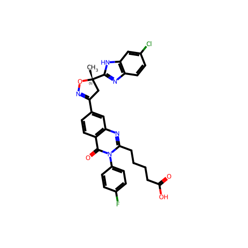 C[C@@]1(c2nc3ccc(Cl)cc3[nH]2)CC(c2ccc3c(=O)n(-c4ccc(F)cc4)c(CCCCC(=O)O)nc3c2)=NO1